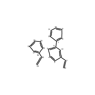 C=Cc1cccc(-c2ccccc2)c1.C=Cc1ccccc1